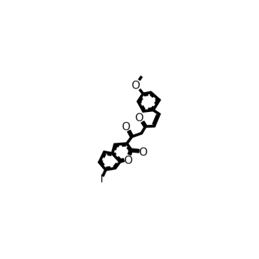 COc1ccc(/C=C\C(=O)CC(=O)c2cc3ccc(I)cc3oc2=O)cc1